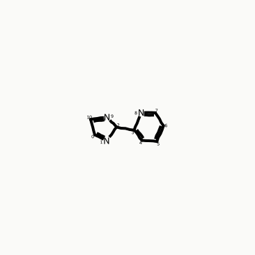 C1=NC(c2ccccn2)N=C1